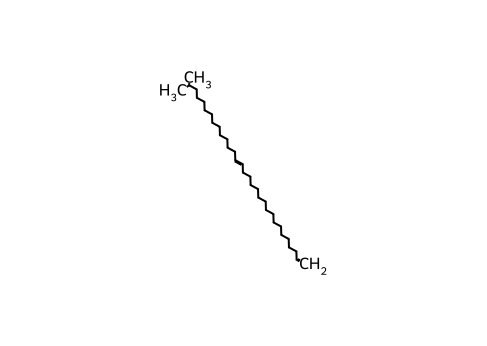 C=CCCCCCCCCCCCCCCC=CCCCCCCCCCCCC(C)C